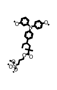 CCC(CC(C)(C)C(=O)OCCC[Si](OC)(OC)OC)c1ccc(N(c2ccc(OC)cc2)c2cccc(OC)c2)cc1